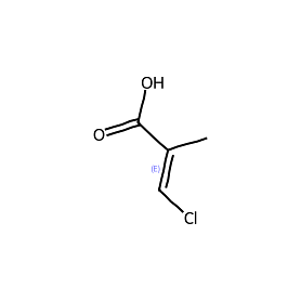 C/C(=C\Cl)C(=O)O